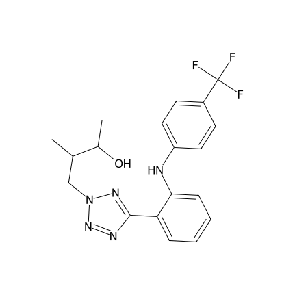 CC(O)C(C)Cn1nnc(-c2ccccc2Nc2ccc(C(F)(F)F)cc2)n1